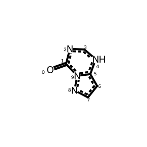 O=c1nc[nH]c2ccnn12